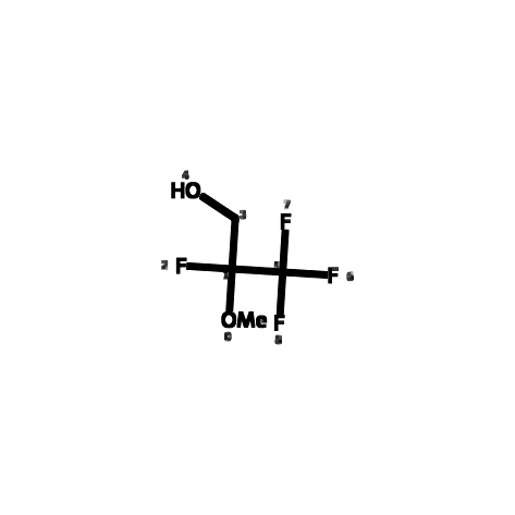 COC(F)(CO)C(F)(F)F